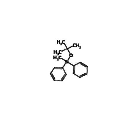 CC(C)(C)O[Si](C)(c1ccccc1)c1ccccc1